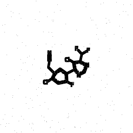 N#CCc1cc(-c2ncnc(C(F)F)c2Cl)c(F)cc1Cl